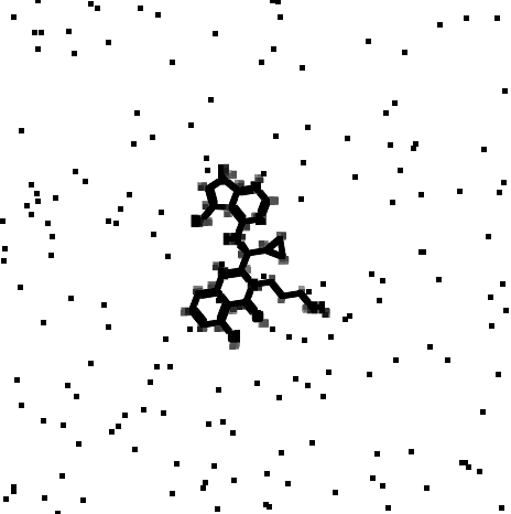 NCCCn1c([C@@H](Nc2ncnc3[nH]cc(Br)c23)C2CC2)nc2cccc(Cl)c2c1=O